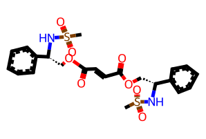 CS(=O)(=O)N[C@H](COC(=O)/C=C/C(=O)OC[C@@H](NS(C)(=O)=O)c1ccccc1)c1ccccc1